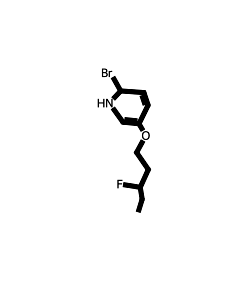 CCC(F)CCOC1=CNC(Br)C=C1